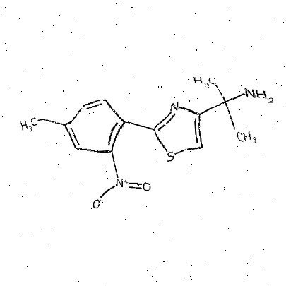 Cc1ccc(-c2nc(C(C)(C)N)cs2)c([N+](=O)[O-])c1